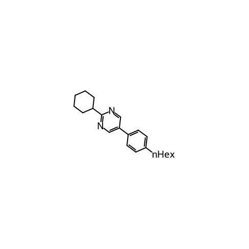 CCCCCCc1ccc(-c2cnc(C3CCCCC3)nc2)cc1